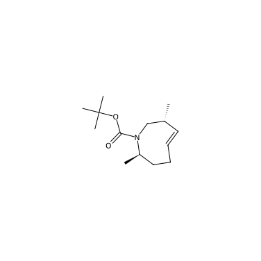 C[C@@H]1/C=C/CC[C@@H](C)N(C(=O)OC(C)(C)C)C1